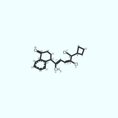 C/C(=C\C=C(\Cl)C(Cl)C1CCC1)C1CCC(=O)c2ccccc21